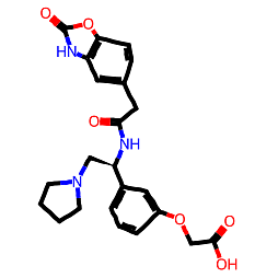 O=C(O)COc1cccc([C@@H](CN2CCCC2)NC(=O)Cc2ccc3oc(=O)[nH]c3c2)c1